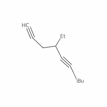 C#CCC(C#CC([CH2])CC)CC